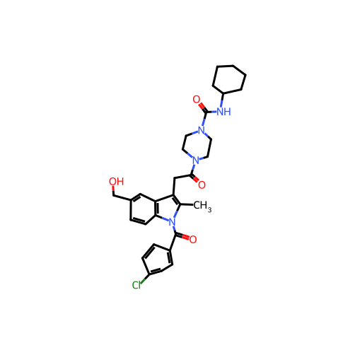 Cc1c(CC(=O)N2CCN(C(=O)NC3CCCCC3)CC2)c2cc(CO)ccc2n1C(=O)c1ccc(Cl)cc1